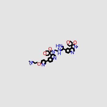 CN(C)CCCOc1ccc(-c2ccc3ncc4c(c3c2)C2(CCOCC2)C(=O)N4CCN/C=C(\C=N)c2ccc3ncc4c(c3c2)C2(CCOCC2)C(=O)N4C)cn1